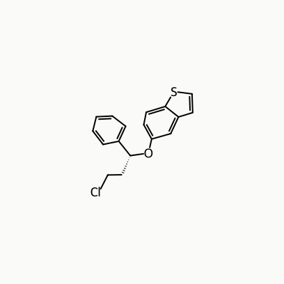 ClCC[C@@H](Oc1ccc2sccc2c1)c1ccccc1